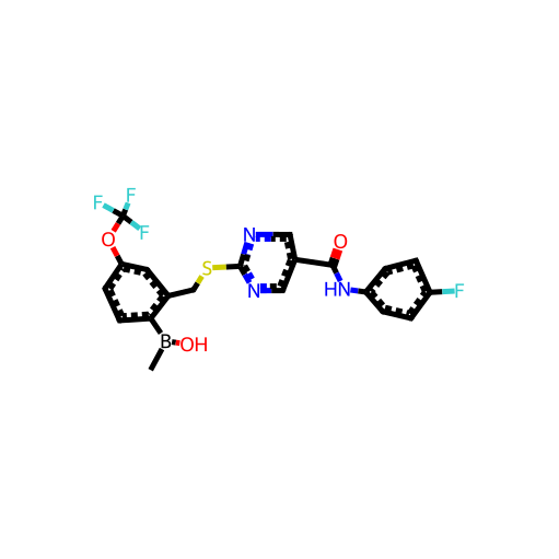 CB(O)c1ccc(OC(F)(F)F)cc1CSc1ncc(C(=O)Nc2ccc(F)cc2)cn1